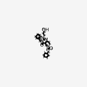 O=C(OCc1ccccc1)N1CCc2nc(NCCCO)n(Cc3ccccc3)c(=O)c2C1